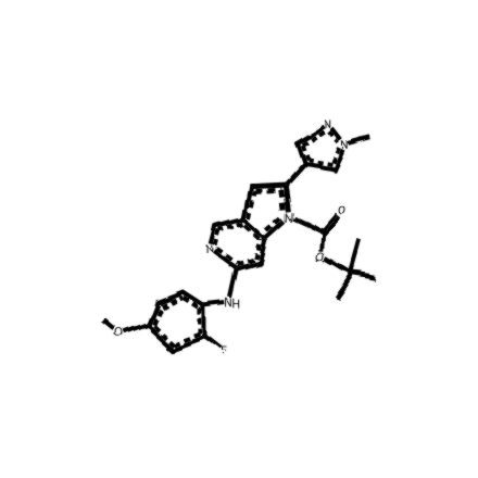 COc1ccc(Nc2cc3c(cn2)cc(-c2cnn(C)c2)n3C(=O)OC(C)(C)C)c(F)c1